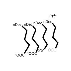 CCCCCCCCCCCCCC(=O)[O-].CCCCCCCCCCCCCC(=O)[O-].CCCCCCCCCCCCCC(=O)[O-].CCCCCCCCCCCCCC(=O)[O-].[Pt+4]